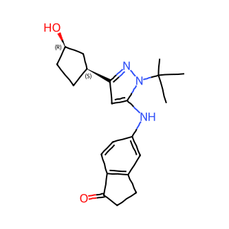 CC(C)(C)n1nc([C@H]2CC[C@@H](O)C2)cc1Nc1ccc2c(c1)CCC2=O